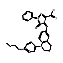 CCCCc1ccc(N2CCCc3cc(/C=C4\C(=O)N(c5ccccc5)N=C4C(=O)O)ccc32)cc1